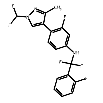 Cc1nn(C(F)F)cc1-c1ccc(NC(F)(F)c2ccccc2F)cc1F